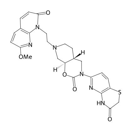 COc1ccc2ccc(=O)n(CCN3CC[C@@H]4CN(c5ccc6c(n5)NC(=O)CS6)C(=O)O[C@H]4C3)c2n1